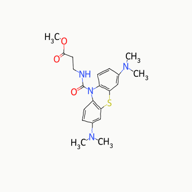 COC(=O)CCNC(=O)N1c2ccc(N(C)C)cc2Sc2cc(N(C)C)ccc21